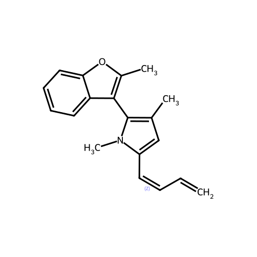 C=C/C=C\c1cc(C)c(-c2c(C)oc3ccccc23)n1C